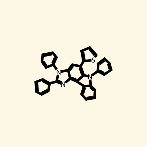 c1ccc(-c2nc3c4c5ccccc5n(-c5ccccc5)c4c(-c4cccs4)cc3n2-c2ccccc2)cc1